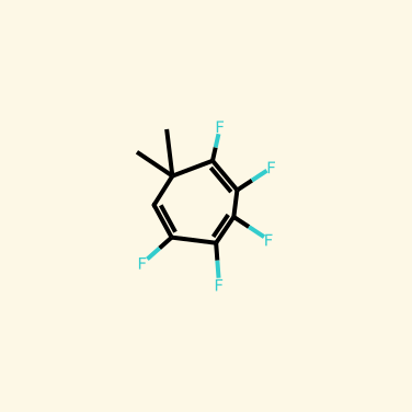 CC1(C)C=C(F)C(F)=C(F)C(F)=C1F